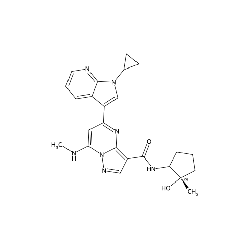 CNc1cc(-c2cn(C3CC3)c3ncccc23)nc2c(C(=O)NC3CCC[C@]3(C)O)cnn12